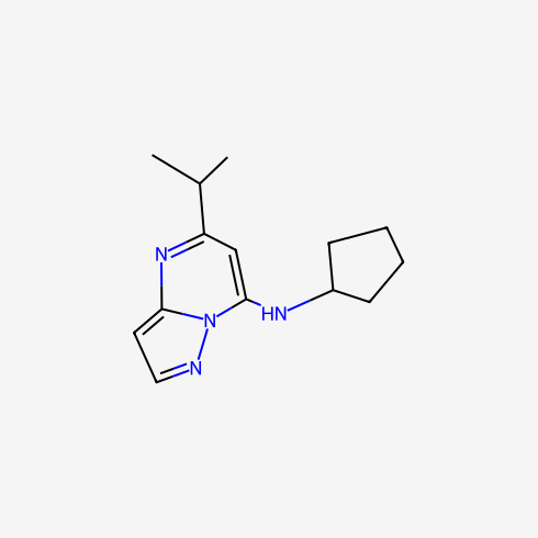 CC(C)c1cc(NC2CCCC2)n2nccc2n1